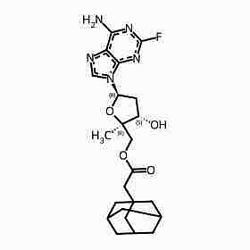 C[C@]1(COC(=O)CC23CC4CC(CC(C4)C2)C3)O[C@@H](n2cnc3c(N)nc(F)nc32)C[C@@H]1O